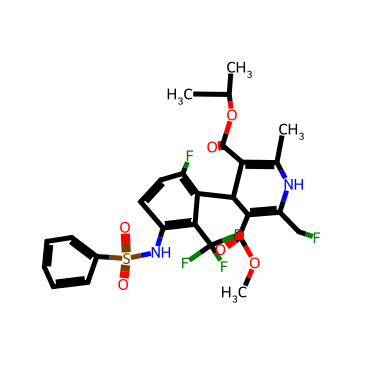 COC(=O)C1=C(CF)NC(C)=C(C(=O)OC(C)C)C1c1c(F)ccc(NS(=O)(=O)c2ccccc2)c1C(F)(F)F